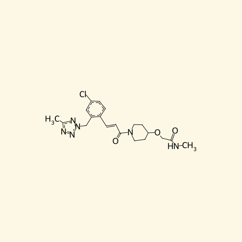 CNC(=O)COC1CCN(C(=O)C=Cc2ccc(Cl)cc2Cn2nnc(C)n2)CC1